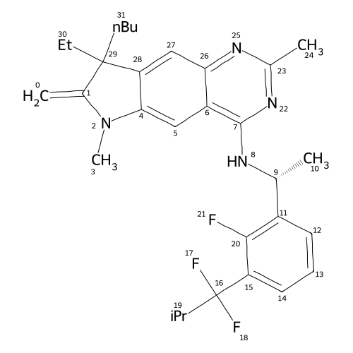 C=C1N(C)c2cc3c(N[C@H](C)c4cccc(C(F)(F)C(C)C)c4F)nc(C)nc3cc2C1(CC)CCCC